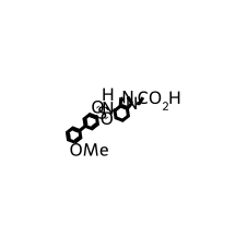 COc1cccc(-c2ccc(S(=O)(=O)NC3CCCc4c3cnn4CC(=O)O)cc2)c1